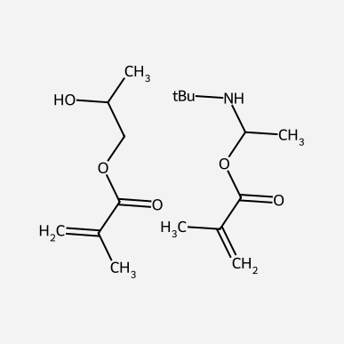 C=C(C)C(=O)OC(C)NC(C)(C)C.C=C(C)C(=O)OCC(C)O